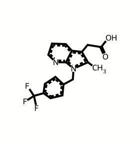 Cc1c(CC(=O)O)c2cccnc2n1Cc1ccc(C(F)(F)F)cc1